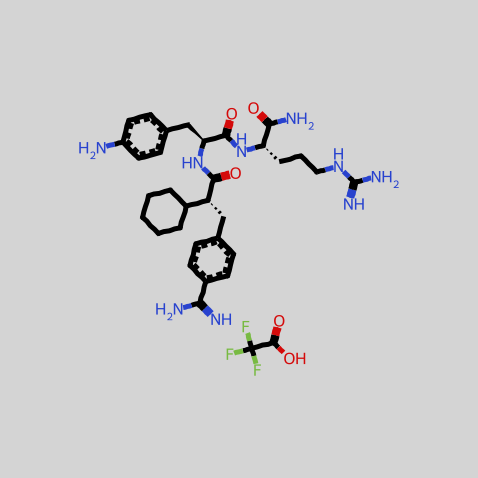 N=C(N)NCCC[C@H](NC(=O)[C@H](Cc1ccc(N)cc1)NC(=O)[C@H](Cc1ccc(C(=N)N)cc1)C1CCCCC1)C(N)=O.O=C(O)C(F)(F)F